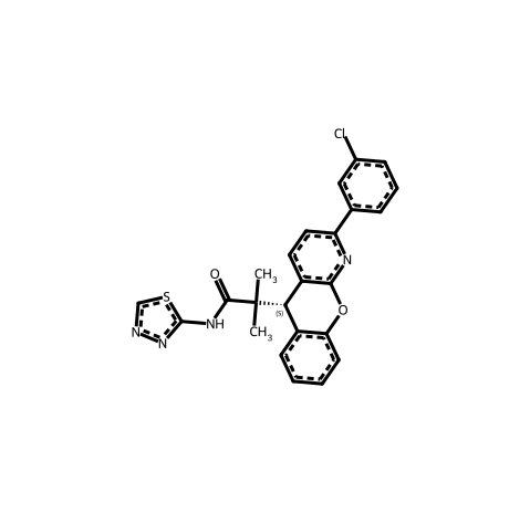 CC(C)(C(=O)Nc1nncs1)[C@H]1c2ccccc2Oc2nc(-c3cccc(Cl)c3)ccc21